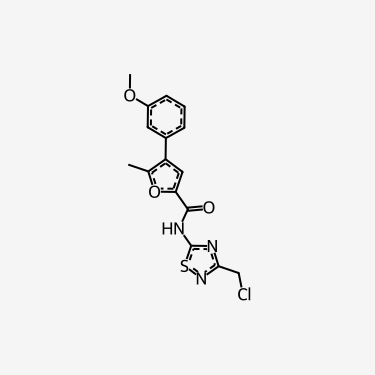 COc1cccc(-c2cc(C(=O)Nc3nc(CCl)ns3)oc2C)c1